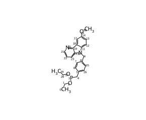 CCOP(Cc1ccc(Cn2c3ccc(OC)cc3c3ncccc32)cc1)OCC